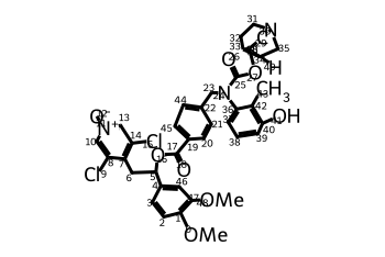 COc1ccc(C(Cc2c(Cl)c[n+]([O-])cc2Cl)OC(=O)c2ccc(CN(C(=O)O[C@H]3CN4CCC3CC4)c3cccc(O)c3C)cc2)cc1OC